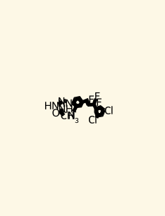 CC(=O)NC(=N)/N=C\Nc1ccc(/C=C/C(c2cc(Cl)cc(Cl)c2)C(F)(F)F)cc1C#N